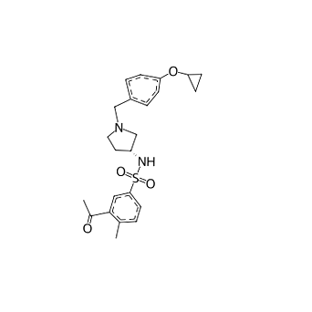 CC(=O)c1cc(S(=O)(=O)N[C@@H]2CCN(Cc3ccc(OC4CC4)cc3)C2)ccc1C